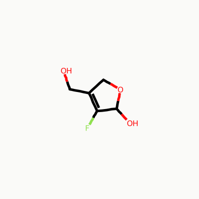 OCC1=C(F)C(O)OC1